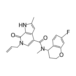 C=CCn1cc(C(=O)N(C)C2CCOc3cc(F)ccc32)c2cc(C)[nH]c2c1=O